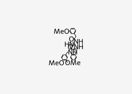 COc1cccc(CC(=O)NC(=N)N[C@H](Cc2ccccc2)C(=O)NCc2ccc(OC)c(OC)c2)c1